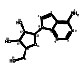 Nc1ncnc2c1cnn2[C@H]1O[C@@H](CO)C(O)[C@H]1O